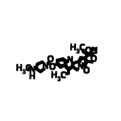 CCc1c2c(nc3ccc(OC(=O)N4CCC(NC)CC4)cc13)-c1cc3c(c(=O)n1C2)COC(=O)[C@]3(O)CC